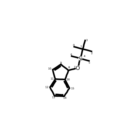 CC(C)(C)[Si](C)(C)OC1[C]=Cc2ccccc21